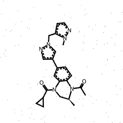 CC(=O)N1c2ccc(-c3cnn(Cc4ccnn4C)c3)cc2N(C(=O)C2CC2)C[C@@H]1C